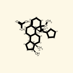 CC(=O)O.COC1(OC2CCCC2)CCC=C2CCC3C4CC[C@H](O)[C@@]4(C)CCC3[C@]21C=O